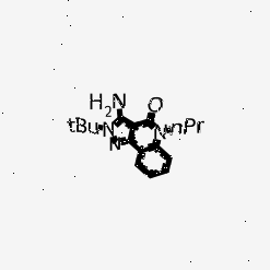 CCCn1c(=O)c2c(N)n(C(C)(C)C)nc2c2ccccc21